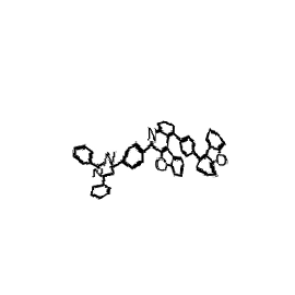 c1ccc(-c2cc(-c3ccc(-c4nc5cccc(-c6ccc(-c7cccc8oc9ccccc9c78)cc6)c5c5c4oc4ccccc45)cc3)nc(-c3ccccc3)n2)cc1